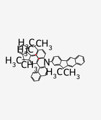 CC(C)(C)c1ccc(N(c2ccc3c(c2)C(C)(C)c2cc4ccccc4cc2-3)c2ccc3ccccc3c2-c2ccc3c(c2)C(C)(C)c2ccccc2-3)cc1